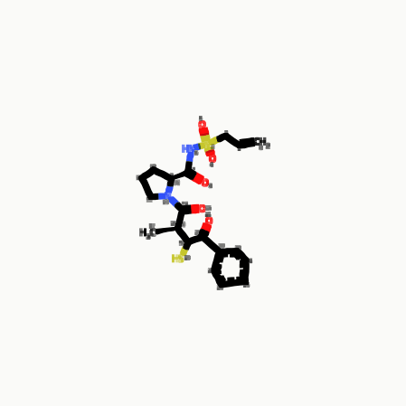 C=CCS(=O)(=O)NC(=O)[C@@H]1CCCN1C(=O)[C@H](C)C(S)C(=O)c1ccccc1